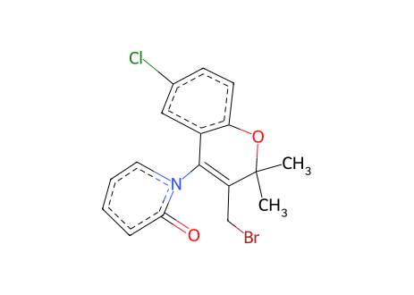 CC1(C)Oc2ccc(Cl)cc2C(n2ccccc2=O)=C1CBr